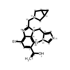 C=C(O)c1cc(CC)c2nc(CN3CC4CC4C3)n(Cc3cncn3CC)c2c1